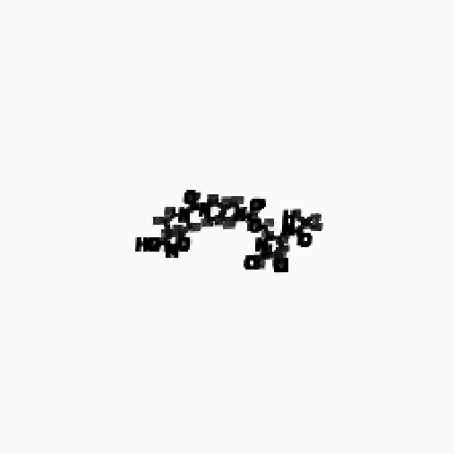 CC(C)(C)C(=O)Nc1cc(Cl)c(Cl)nc1COC(=O)N1CC2=C(C1)CN(C(=O)N1CCc3c(O)noc3C1)C2